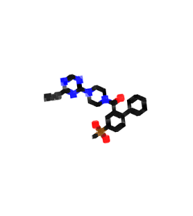 COc1ncnc(N2CCN(C(=O)c3cc(S(C)(=O)=O)ccc3-c3ccccc3)CC2)n1